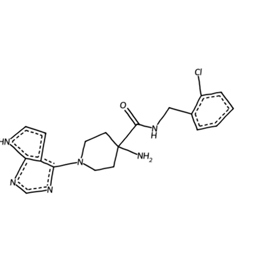 NC1(C(=O)NCc2ccccc2Cl)CCN(c2ncnc3[nH]ccc23)CC1